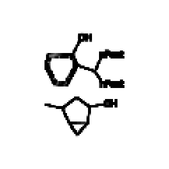 CC1CC(O)C2CC12.CCCCCC(CCCCC)c1ccccc1O